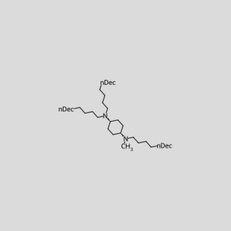 CCCCCCCCCCCCCCN(C)[C@H]1CC[C@@H](N(CCCCCCCCCCCCCC)CCCCCCCCCCCCCC)CC1